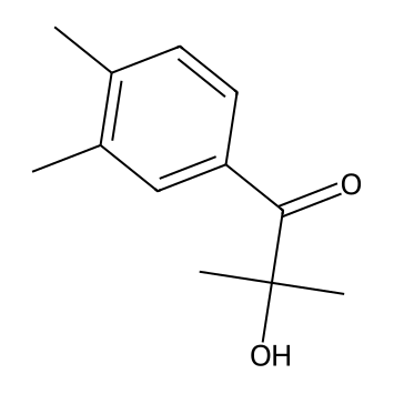 Cc1ccc(C(=O)C(C)(C)O)cc1C